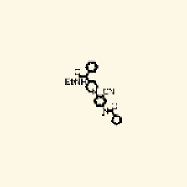 CCNC(=O)C(c1ccccc1)C1CCN(c2ccc(N(C)C(=O)C3CCCC3)cc2C#N)CC1